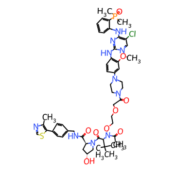 COc1cc(N2CCN(C(=O)COCCON(C(C)=O)[C@H](C(=O)N3C[C@H](O)C[C@H]3C(=O)NCc3ccc(-c4scnc4C)cc3)C(C)(C)C)CC2)ccc1Nc1ncc(Cl)c(Nc2ccccc2P(C)(C)=O)n1